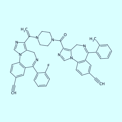 C#Cc1ccc2c(c1)C(c1ccccc1F)=NCc1c(C(=C)N3CCN(C(=O)c4ncn5c4CN=C(c4ccccc4C)c4cc(C#C)ccc4-5)CC3)ncn1-2